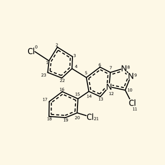 Clc1ccc(-c2cc3nnc(Cl)n3cc2-c2ccccc2Cl)cc1